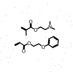 C=C(C)C(=O)OCCN(C)C.C=CC(=O)OCCOc1ccccc1